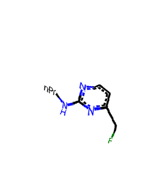 CCCNc1nccc(CF)n1